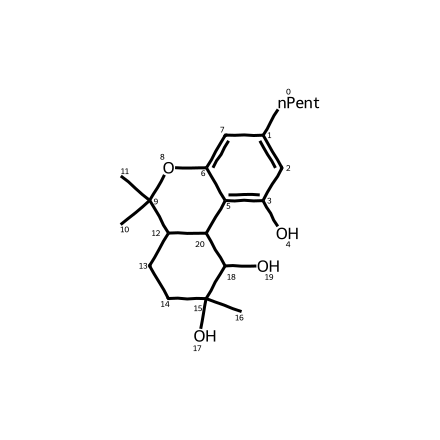 CCCCCc1cc(O)c2c(c1)OC(C)(C)C1CCC(C)(O)C(O)C21